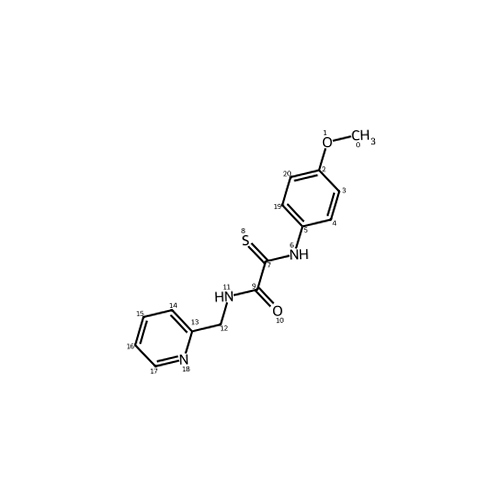 COc1ccc(NC(=S)C(=O)NCc2ccccn2)cc1